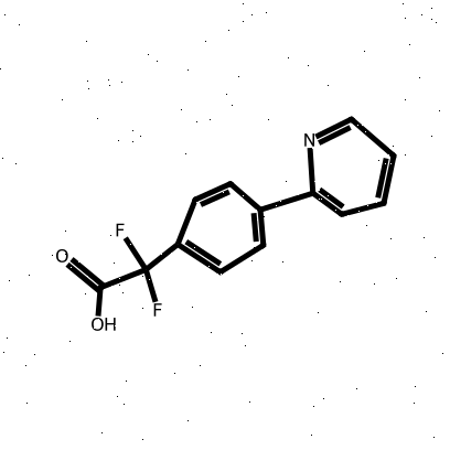 O=C(O)C(F)(F)c1ccc(-c2ccccn2)cc1